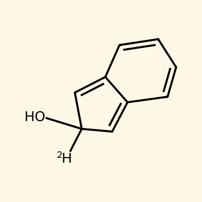 [2H]C1(O)C=c2ccccc2=C1